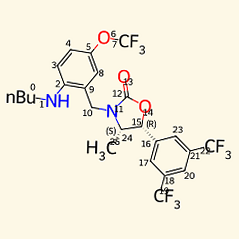 CCCCNc1ccc(OC(F)(F)F)cc1CN1C(=O)O[C@H](c2cc(C(F)(F)F)cc(C(F)(F)F)c2)[C@@H]1C